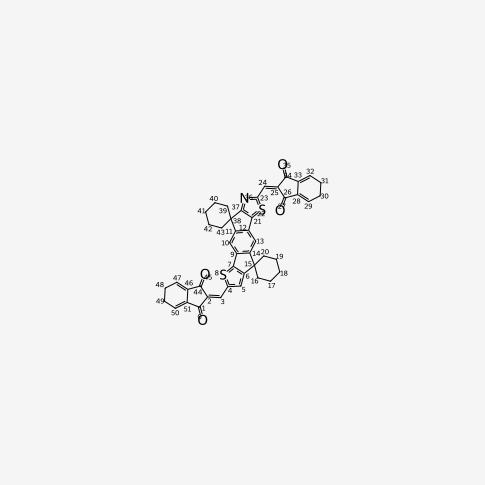 O=C1C(=Cc2cc3c(s2)-c2cc4c(cc2C32CCCCC2)-c2sc(C=C3C(=O)C5=CCCC=C5C3=O)nc2C42CCCCC2)C(=O)C2=CCCC=C12